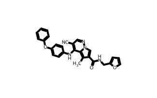 Cc1c(C(=O)NCc2ccco2)cn2ncc(C#N)c(Nc3ccc(Oc4ccccc4)cc3)c12